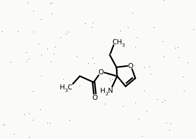 CCC(=O)OC1(N)C=COC1CC